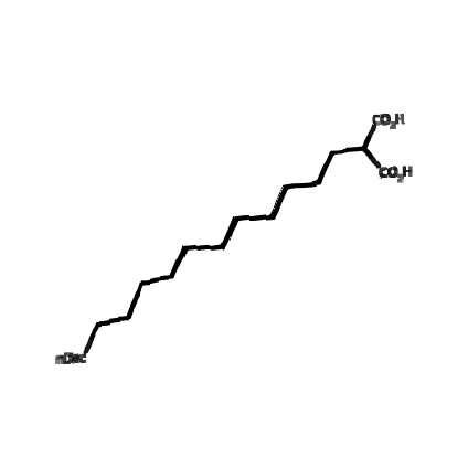 CCCCCCCCCCCCCCCCCCCCCC(C(=O)O)C(=O)O